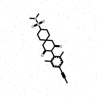 CC#Cc1cc(C)c(C2C(=O)CC3(CCC(S(=O)(=O)N(C)C)CC3)CC2=O)c(C)c1